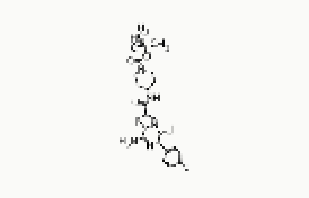 CC(C)(C)OC(=O)N1CCC(NC(=O)c2cn3c(Cl)c(-c4ccc(F)cc4)nc(N)c3n2)CC1